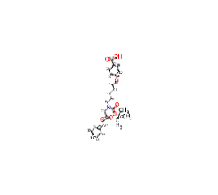 CC(C)(C)OC(=O)N(CCCCCOc1ccc(C(=O)O)cc1)CC(=O)OCc1ccccc1